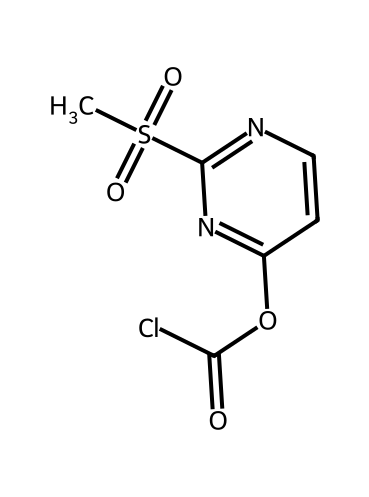 CS(=O)(=O)c1nccc(OC(=O)Cl)n1